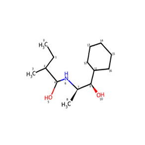 CCC(C)C(O)N[C@H](C)[C@H](O)C1CCCCC1